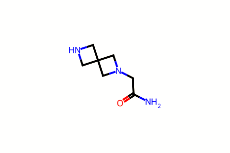 NC(=O)CN1CC2(CNC2)C1